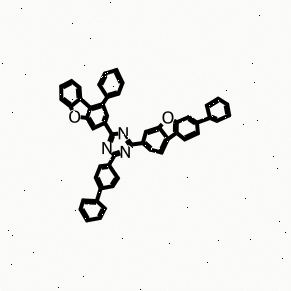 c1ccc(-c2ccc(-c3nc(-c4ccc5c(c4)oc4cc(-c6ccccc6)ccc45)nc(-c4cc(-c5ccccc5)c5c(c4)oc4ccccc45)n3)cc2)cc1